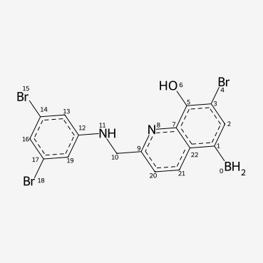 Bc1cc(Br)c(O)c2nc(CNc3cc(Br)cc(Br)c3)ccc12